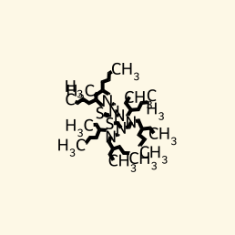 C=C1C(CCCC)CN(Cn2nc(N(CN(CC(CC)CCCC)CC(CC)CCCC)CN(CC(CC)CCCC)CC(CC)CCCC)sc2=S)CC1CCCC